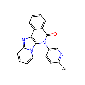 CC(=O)c1ccc(-n2c(=O)c3ccccc3c3nc4ccccn4c32)cn1